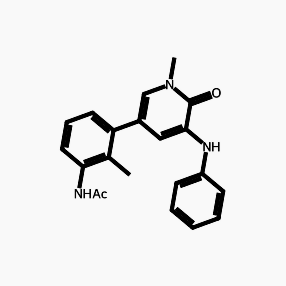 CC(=O)Nc1cccc(-c2cc(Nc3ccccc3)c(=O)n(C)c2)c1C